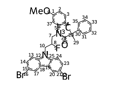 COc1cccc(N(CC(F)Cn2c3ccc(Br)cc3c3cc(Br)ccc32)C(=O)C(C)(c2ccccc2)C(F)(F)F)c1